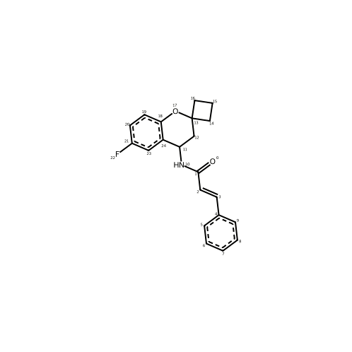 O=C(C=Cc1ccccc1)NC1CC2(CCC2)Oc2ccc(F)cc21